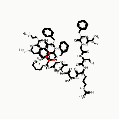 CC[C@H](C)[C@H](NC(=O)[C@@H](NC(=O)[C@H](CCCNC(=N)N)NC(=O)[C@H](CS)NC(=O)CNC(=O)[C@H](Cc1ccccc1)NC(=O)[C@@H](N)C(C)C)C(C)C)C(=O)N[C@@H](CCC(N)=O)C(=O)N[C@@H](CCCCN)C(=O)N[C@@H](Cc1ccccc1)C(=O)N[C@@H](Cc1ccccc1)C(=O)N[C@@H](CCC(=O)O)C(=O)N[C@@H](Cc1ccccc1)C(=O)O